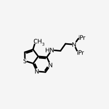 Cc1csc2ncnc(NCCN(C(C)C)C(C)C)c12